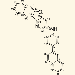 c1ccc2cc(-c3ccc(Nc4cnc5c(c4)oc4cc6ccccc6cc45)cc3)ccc2c1